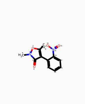 Cc1on(C)c(=O)c1-c1ccccc1[N+](=O)[O-]